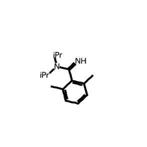 Cc1cccc(C)c1C(=N)N(C(C)C)C(C)C